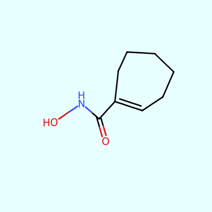 O=C(NO)C1=CCCCCC1